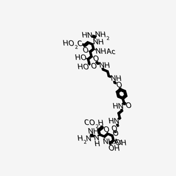 CC(=O)N[C@@H]1[C@H]([C@H](OC(=O)NCCCNCOc2ccc(C(=O)NCCCNCOO[C@@H]([C@@H]3OC(C(=O)O)=C[C@H](NC(=N)N)[C@H]3NC(C)=O)[C@H](O)CO)cc2)[C@H](O)CO)OC(C(=O)O)=C[C@@H]1NC(=N)N